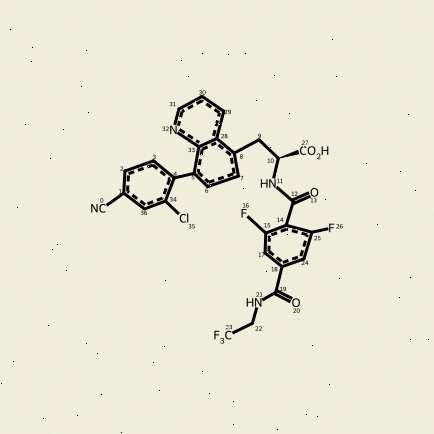 N#Cc1ccc(-c2ccc(C[C@H](NC(=O)c3c(F)cc(C(=O)NCC(F)(F)F)cc3F)C(=O)O)c3cccnc23)c(Cl)c1